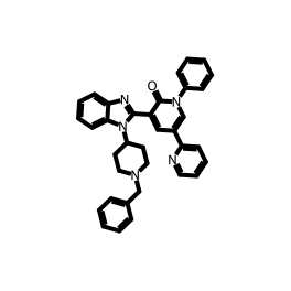 O=c1c(-c2nc3ccccc3n2C2CCN(Cc3ccccc3)CC2)cc(-c2ccccn2)cn1-c1ccccc1